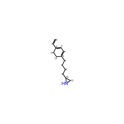 C=CC1=CC=C(CCCCC2CN2)CC1